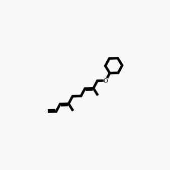 C=C/C=C(\C)CC/C=C(\C)COC1CCCCC1